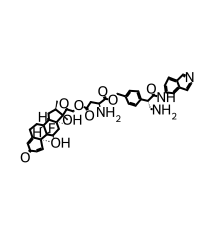 C[C@@H]1C[C@H]2[C@@H]3CCC4=CC(=O)C=C[C@]4(C)[C@@]3(F)[C@@H](O)C[C@]2(C)[C@@]1(O)C(=O)COC(=O)C[C@H](N)C(=O)OCc1ccc([C@@H](CN)C(=O)Nc2ccc3cnccc3c2)cc1